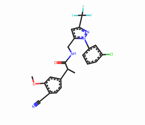 COc1cc(C(C)C(=O)NCc2cc(C(F)(F)F)nn2-c2cccc(Cl)c2)ccc1C#N